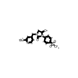 CC(C)(C)c1cc(CN2CC(=O)N(c3ccc(S(=O)(=O)C(F)(F)F)cc3)C2=O)ccn1